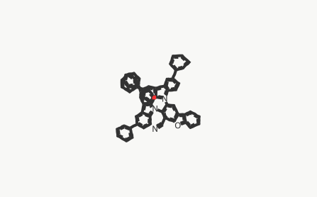 N#Cc1c(-n2c3ccc(-c4ccccc4)cc3c3cc(-c4ccccc4)ccc32)c(-n2c3ccc(-c4ccccc4)cc3c3cc(-c4ccccc4)ccc32)cc2c1oc1ccccc12